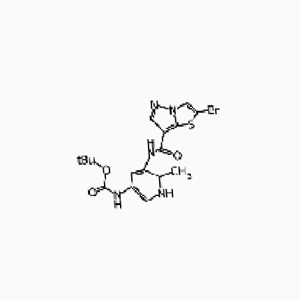 CC1NC=C(NC(=O)OC(C)(C)C)C=C1NC(=O)c1cnn2cc(Br)sc12